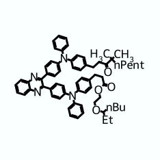 CCCCCC(C)(C)C(=O)CCc1ccc(N(c2ccccc2)c2ccc(-c3nc4ccccc4nc3-c3ccc(N(c4ccccc4)c4ccc(CCC(=O)OCCOC(CC)CCCC)cc4)cc3)cc2)cc1